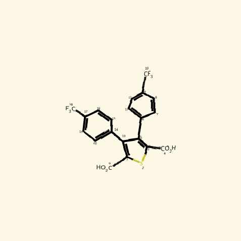 O=C(O)c1sc(C(=O)O)c(-c2ccc(C(F)(F)F)cc2)c1-c1ccc(C(F)(F)F)cc1